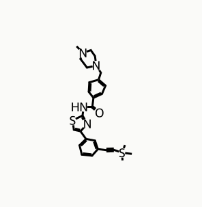 CN1CCN(Cc2ccc(C(=O)Nc3nc(-c4cccc(C#CS(C)(C)C)c4)cs3)cc2)CC1